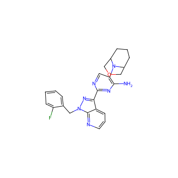 Nc1nc(-c2nn(Cc3ccccc3F)c3ncccc23)ncc1N1C2CCCC1COC2